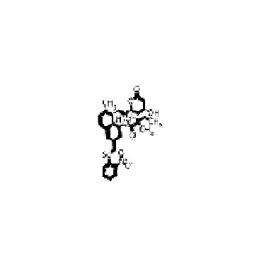 CCC(C)(C)C(=O)O[C@H]1CC(C[Se]c2ccccc2[N+](=O)[O-])C=C2C=C[C@H](C)[C@H](CC[C@@H]3C[C@@H](O)CC(=O)O3)[C@H]21